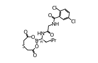 CC(C)C[C@H](NC(=O)CNC(=O)c1cc(Cl)ccc1Cl)B1OC(=O)CSCC(=O)O1